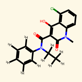 [2H]c1c([2H])c([2H])c(N(C(=O)c2c(O)c3c(Cl)cccc3n(C)c2=O)C([2H])([2H])C([2H])([2H])[2H])c([2H])c1[2H]